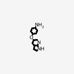 Nc1ccc(Oc2cnc3[nH]ccc3c2)cc1